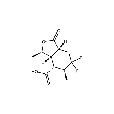 C=C(O)[C@@H]1[C@@H]2[C@@H](C)OC(=O)[C@@H]2CC(F)(F)[C@H]1C